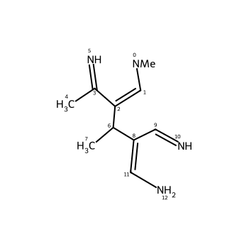 CN/C=C(\C(C)=N)C(C)/C(C=N)=C/N